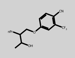 CCCC(COc1ccc(C#N)c(C(F)(F)F)c1)C(C)O